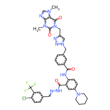 Cn1cnc2c1c(=O)n(Cc1cn(Cc3cccc(C(=O)Nc4ccc(N5CCCCC5)cc4C(=O)NN=Cc4ccc(Cl)c(C(F)(F)F)c4)c3)nn1)c(=O)n2C